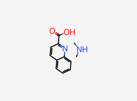 CNC.O=C(O)c1ccc2ccccc2n1